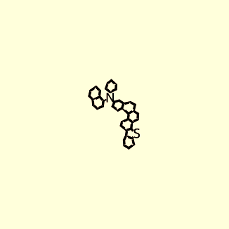 c1ccc(N(c2ccc3c(ccc4ccc5c(ccc6c7ccccc7sc65)c43)c2)c2cccc3ccccc23)cc1